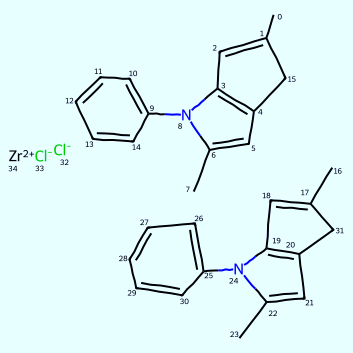 CC1=Cc2c(cc(C)n2-c2ccccc2)C1.CC1=Cc2c(cc(C)n2-c2ccccc2)C1.[Cl-].[Cl-].[Zr+2]